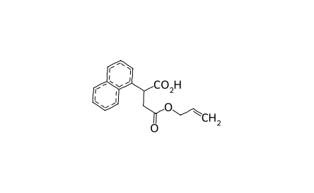 C=CCOC(=O)CC(C(=O)O)c1cccc2ccccc12